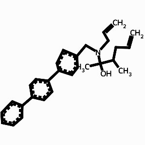 C=CCC(C)C(C)(O)N(CC=C)Cc1ccc(-c2ccc(-c3ccccc3)cc2)cc1